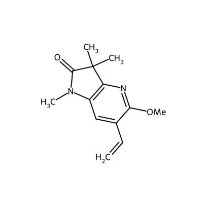 C=Cc1cc2c(nc1OC)C(C)(C)C(=O)N2C